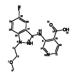 COCCN1NC(Nc2cnccc2C(=O)O)c2cc(F)ccc21